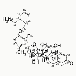 Cc1ccc(OCc2ccccc2CN)c(F)c1[C@H]1O[C@@H]2C[C@H]3[C@@H]4CCC5=CC(=O)C=C[C@]5(C)[C@H]4[C@@H](O)C[C@]3(C)[C@]2(C(=O)CO)O1